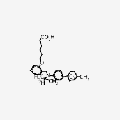 [2H]C(C)(C)N(Cc1ccccc1OCCCCCC(=O)O)c1ccc(C23CCC(C)(CC2)CC3)cc1